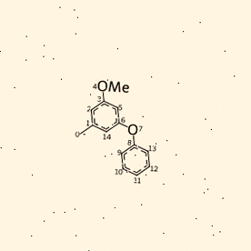 [CH2]c1cc(OC)cc(Oc2ccccc2)c1